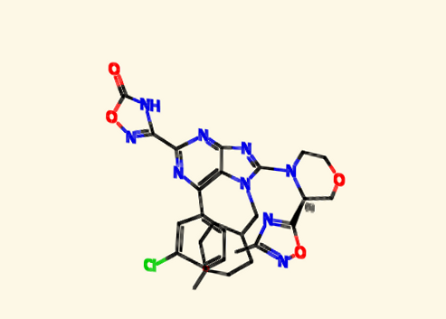 Cc1noc([C@@H]2COCCN2c2nc3nc(-c4noc(=O)[nH]4)nc(-c4cccc(Cl)c4)c3n2CC2CCC(C)CC2)n1